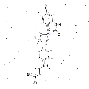 CCN(CC)CCNc1ccc(C2=C/C(=C3\C(=O)Nc4cc(F)ccc43)OC2(C)C)cn1